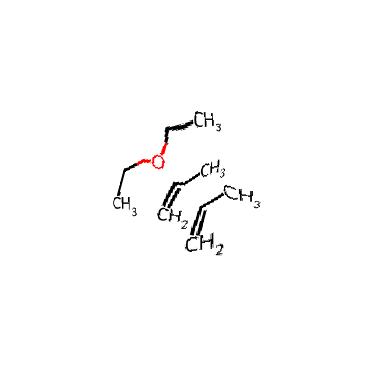 C=CC.C=CC.CCOCC